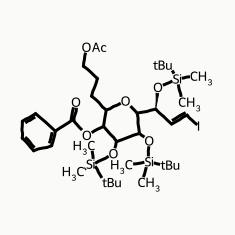 CC(=O)OCCCC1OC([C@H](C=CI)O[Si](C)(C)C(C)(C)C)C(O[Si](C)(C)C(C)(C)C)C(O[Si](C)(C)C(C)(C)C)C1OC(=O)c1ccccc1